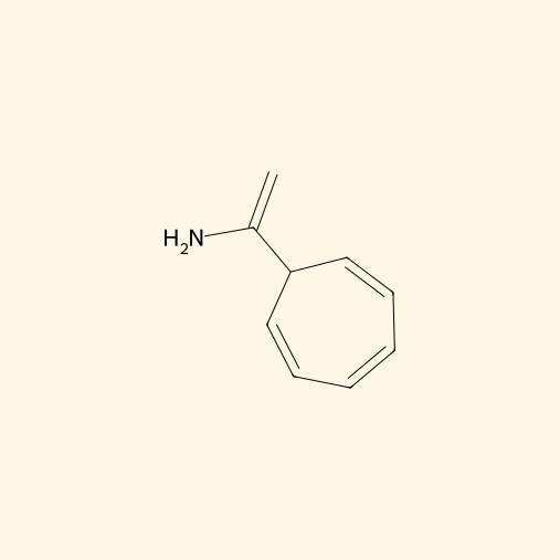 C=C(N)C1C=CC=CC=C1